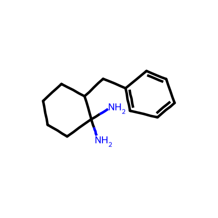 NC1(N)CCCCC1Cc1ccccc1